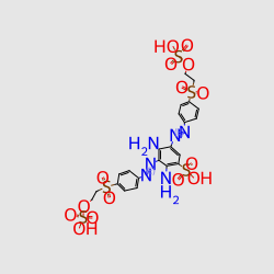 Nc1c(/N=N/c2ccc(S(=O)(=O)CCOS(=O)(=O)O)cc2)cc(S(=O)(=O)O)c(N)c1/N=N/c1ccc(S(=O)(=O)CCOS(=O)(=O)O)cc1